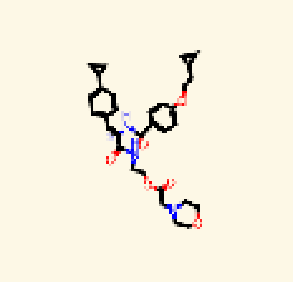 O=C(CN1CCOCC1)OCCNC(=O)/C(=C/c1ccc(C2CC2)cc1)NC(=O)c1ccc(OCCC2CC2)cc1